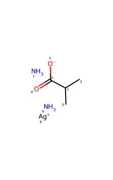 CC(C)C(=O)[O-].N.N.[Ag+]